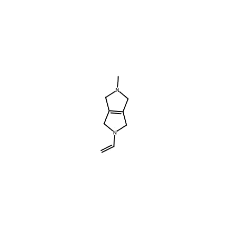 C=CN1CC2=C(CN(C)C2)C1